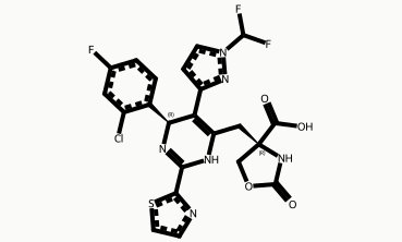 O=C1N[C@@](CC2=C(c3ccn(C(F)F)n3)[C@H](c3ccc(F)cc3Cl)N=C(c3nccs3)N2)(C(=O)O)CO1